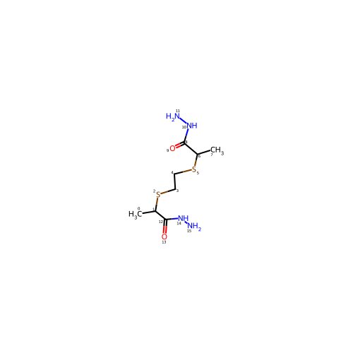 CC(SCCSC(C)C(=O)NN)C(=O)NN